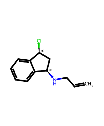 C=CCN[C@@H]1C[C@H](Cl)c2ccccc21